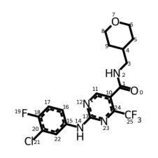 O=C(NCC1CCOCC1)c1cnc(Nc2ccc(F)c(Cl)c2)nc1C(F)(F)F